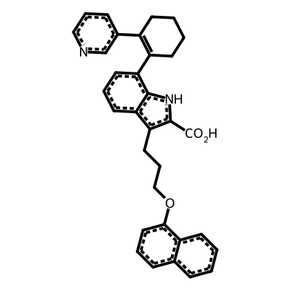 O=C(O)c1[nH]c2c(C3=C(c4cccnc4)CCCC3)cccc2c1CCCOc1cccc2ccccc12